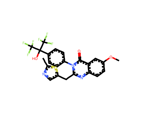 COc1ccc2nc(Cc3cnc(C)s3)n(-c3ccc(C(O)(C(F)(F)F)C(F)(F)F)cc3)c(=O)c2c1